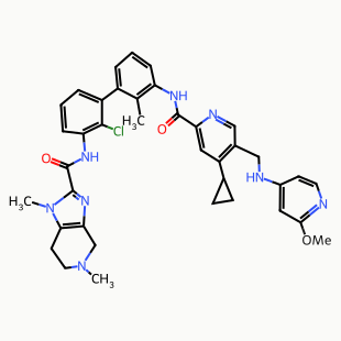 COc1cc(NCc2cnc(C(=O)Nc3cccc(-c4cccc(NC(=O)c5nc6c(n5C)CCN(C)C6)c4Cl)c3C)cc2C2CC2)ccn1